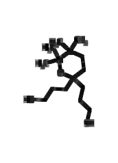 C[Si]1(C)CCC(CCCS)(CCCS)O[Si]1(C)C